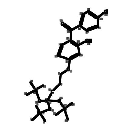 C[Si](C)(C)O[Si](CCCOc1ccc(C(=O)c2ccc(Cl)cc2)c(O)c1)(O[Si](C)(C)C)O[Si](C)(C)C